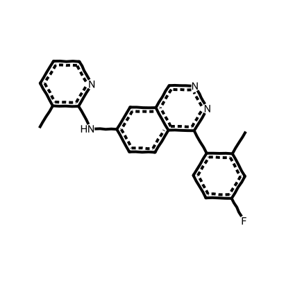 Cc1cc(F)ccc1-c1nncc2cc(Nc3ncccc3C)ccc12